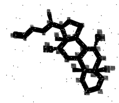 C[C@H](CCC=O)[C@H]1CCC2C3C(C[C@H](O)[C@@]21C)[C@@]1(C)CCCC[C@H]1C[C@H]3O